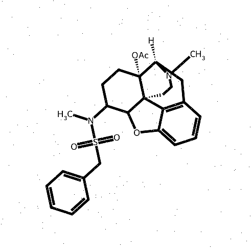 CC(=O)O[C@@]12CCC(N(C)S(=O)(=O)Cc3ccccc3)C3Oc4cccc5c4[C@@]31CCN(C)[C@@H]2C5